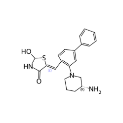 N[C@@H]1CCCN(c2cc(-c3ccccc3)ccc2/C=C2\SC(O)NC2=O)C1